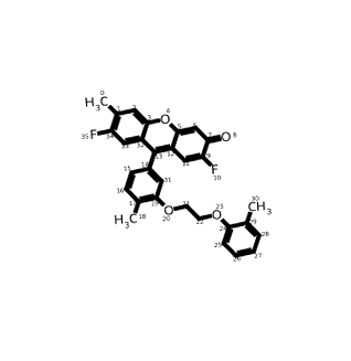 Cc1cc2oc3cc(=O)c(F)cc-3c(-c3ccc(C)c(OCCOc4ccccc4C)c3)c2cc1F